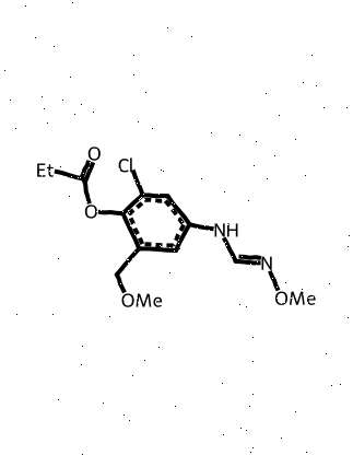 CCC(=O)Oc1c(Cl)cc(NC=NOC)cc1COC